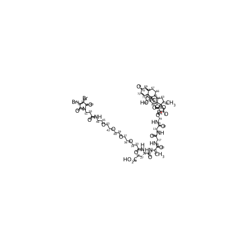 CCC(=O)O[C@]1(C(=O)COCNC(=O)CNC(=O)CNC(=O)[C@H](C)NC(=O)[C@H](CCC(=O)O)NC(=O)CCOCCOCCOCCOCCNC(=O)CCN2C(=O)C(Br)=C(Br)C2=O)[C@@H](C)CC2C3CCC4=CC(=O)C=C[C@]4(C)[C@@]3(Cl)[C@@H](O)C[C@@]21C